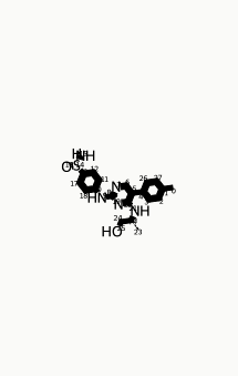 Cc1ccc(-c2cnc(Nc3ccc([SH](=N)=O)cc3)nc2N[C@H](C)CO)cc1